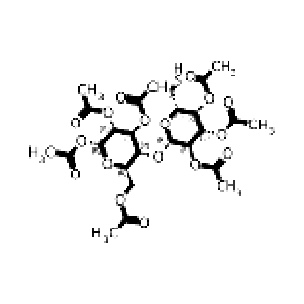 CC(=O)OC[C@H]1O[C@H](OC(C)=O)[C@H](OC(C)=O)[C@@H](OC(C)=O)[C@@H]1O[C@@H]1O[C@H](CS)[C@H](OC(C)=O)[C@H](OC(C)=O)[C@H]1OC(C)=O